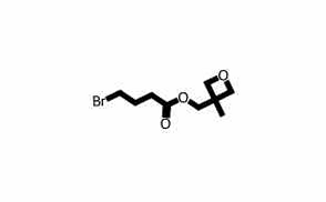 CC1(COC(=O)CCCBr)COC1